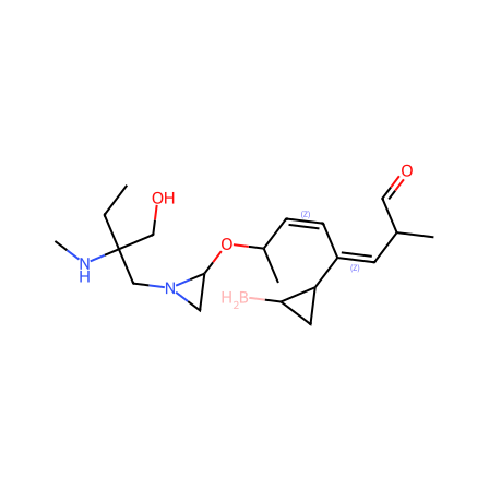 BC1CC1C(/C=C\C(C)OC1CN1CC(CC)(CO)NC)=C/C(C)C=O